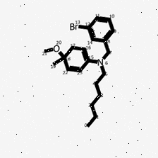 CCCCCCN(Cc1cccc(Br)c1)C1=CCC(C)(OC)C=C1